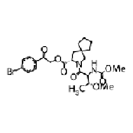 COC(=O)N[C@H](C(=O)N1CC2(CCCC2)C[C@H]1C(=O)OCC(=O)c1ccc(Br)cc1)[C@@H](C)OC